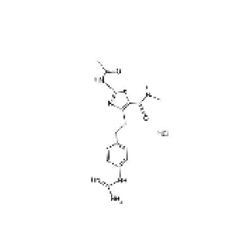 CC(=O)Nc1nc(CCc2ccc(NC(=N)N)cc2)c(C(=O)N(C)C)s1.Cl